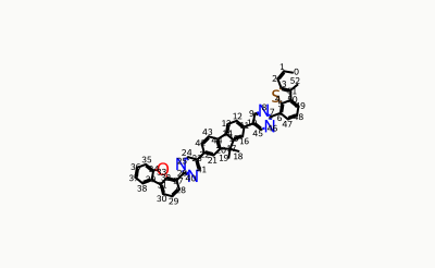 C/C=C\c1sc2c(-c3ncc(-c4ccc5c(c4)C(C)(C)c4cc(-c6cnc(-c7cccc8c7oc7ccccc78)nc6)ccc4-5)cn3)cccc2c1C